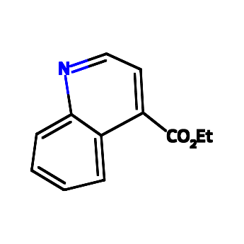 CCOC(=O)c1ccnc2ccccc12